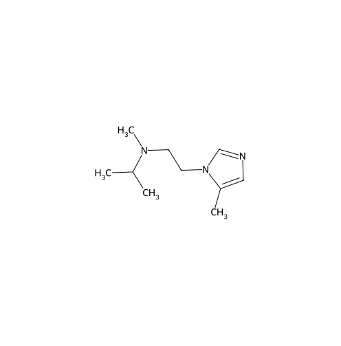 Cc1cncn1CCN(C)C(C)C